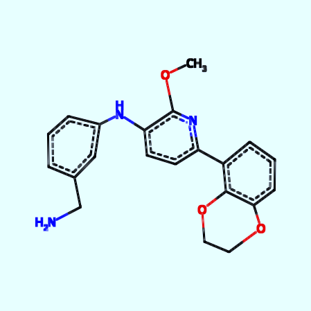 COc1nc(-c2cccc3c2OCCO3)ccc1Nc1cccc(CN)c1